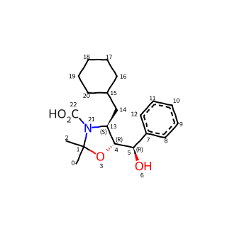 CC1(C)O[C@@H]([C@H](O)c2ccccc2)[C@H](CC2CCCCC2)N1C(=O)O